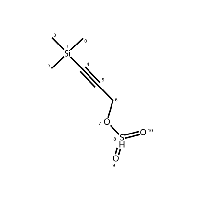 C[Si](C)(C)C#CCO[SH](=O)=O